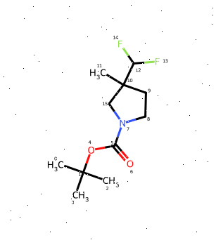 CC(C)(C)OC(=O)N1CCC(C)(C(F)F)C1